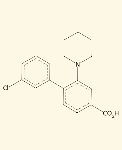 O=C(O)c1ccc(-c2cccc(Cl)c2)c(N2CCCCC2)c1